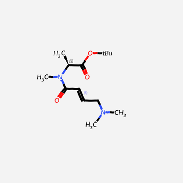 C[C@@H](C(=O)OC(C)(C)C)N(C)C(=O)/C=C/CN(C)C